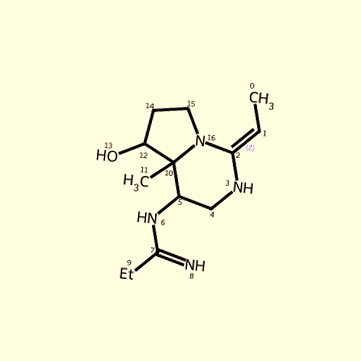 C/C=C1/NCC(NC(=N)CC)C2(C)C(O)CCN12